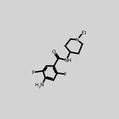 CCN1CCC(NC(=O)c2cc(F)c(N)cc2F)CC1